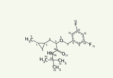 CC1CC1CC(OCc1cc(F)cc(F)c1)C(=O)NC(C)(C)C